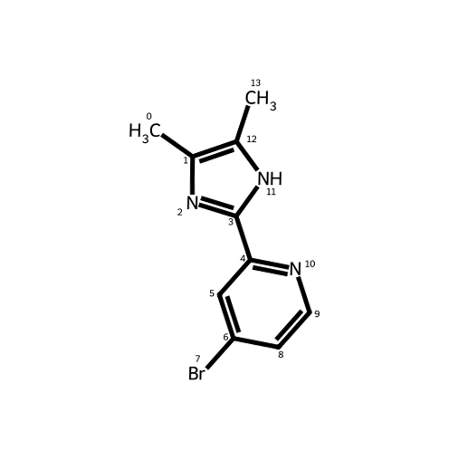 Cc1nc(-c2cc(Br)ccn2)[nH]c1C